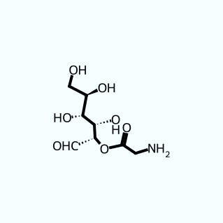 NCC(=O)O[C@H](C=O)[C@@H](O)[C@H](O)[C@H](O)CO